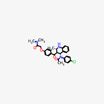 CC(=O)N(c1ccc(Cl)cc1)[C@H]1c2ccccc2N[C@@H](C)C1C(=O)c1ccc(OCC(=O)N(C)C)cc1